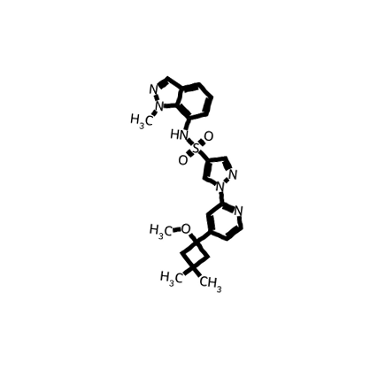 COC1(c2ccnc(-n3cc(S(=O)(=O)Nc4cccc5cnn(C)c45)cn3)c2)CC(C)(C)C1